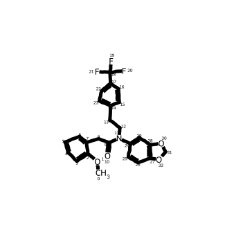 COc1ccccc1CC(=O)N(CCc1ccc(C(F)(F)F)cc1)c1ccc2c(c1)OCO2